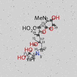 CCCC(C)(O)[C@H](O)[C@@H](C)N(C)C[C@H](C)CC(C)(O)C[C@@H](C)C(O[C@H]1CC(NC)[C@H](O)[C@@H](C)O1)[C@@H](C)C(=O)O